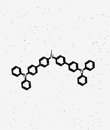 IN(c1ccc(-c2ccc(N(c3ccccc3)c3ccccc3)cc2)cc1)c1ccc(-c2ccc(N(c3ccccc3)c3ccccc3)cc2)cc1